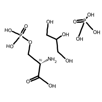 N[C@@H](COP(=O)(O)O)C(=O)O.O=P(O)(O)O.OCC(O)CO